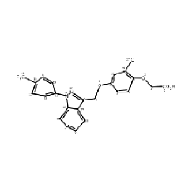 O=C(O)COc1ccc(OCc2nn(-c3ccc(C(F)(F)F)cc3)c3ccccc23)cc1Cl